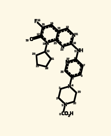 O=C(O)N1CCN(c2ccc(Nc3ncc4cc(F)c(=O)n(C5CCCC5)c4n3)nc2)CC1